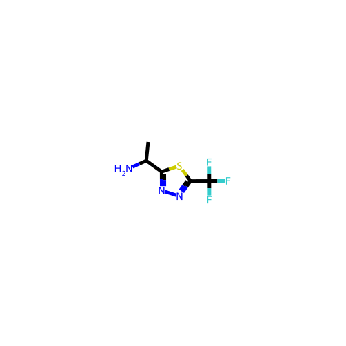 CC(N)c1nnc(C(F)(F)F)s1